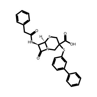 O=C(Cc1ccccc1)N[C@@H]1C(=O)N2CC(Sc3cccc(-c4ccccc4)c3)(C(=O)O)CS[C@H]12